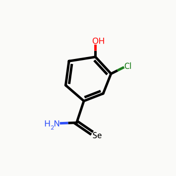 NC(=[Se])c1ccc(O)c(Cl)c1